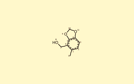 Cc1ccc2c(c1CO)OCO2